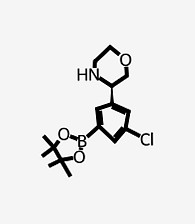 CC1(C)OB(c2cc(Cl)cc([C@@H]3COCCN3)c2)OC1(C)C